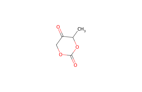 CC1OC(=O)OCC1=O